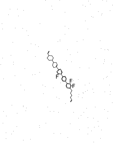 C=CCCCCc1ccc(-c2ccc(-c3ccc(C4=CCC(C5CCC(C=C)CC5)CC4)cc3F)cc2)c(F)c1F